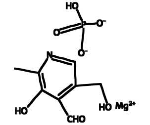 Cc1ncc(CO)c(C=O)c1O.O=P([O-])([O-])O.[Mg+2]